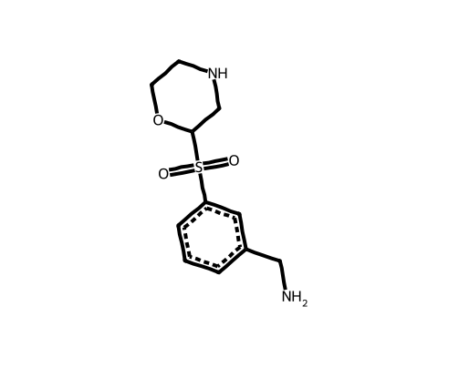 NCc1cccc(S(=O)(=O)C2CNCCO2)c1